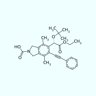 CCOC(=O)[C@@H](OC(C)(C)C)c1c(C)c2c(c(C)c1C#Cc1ccccc1)CN(C(=O)O)C2